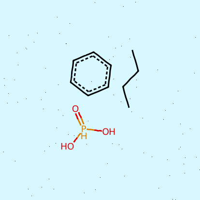 CCCC.O=[PH](O)O.c1ccccc1